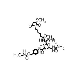 CCNC(=O)OCc1ccc(NC(=O)[C@H](CCCNC(N)=O)NC(=O)[C@@H](NC(=O)CCCCCN2C(=O)CC(SC)C2=O)C(C)C)cc1